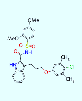 COc1ccc(S(=O)(=O)NC(=O)c2[nH]c3ccccc3c2CCCOc2cc(C)c(Cl)c(C)c2)c(OC)c1